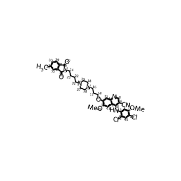 COc1cc(Nc2c(C#N)cnc3cc(OCCCN4CCN(CCCCN5C(=O)c6ccc(C)cc6C5=O)CC4)c(OC)cc23)c(Cl)cc1Cl